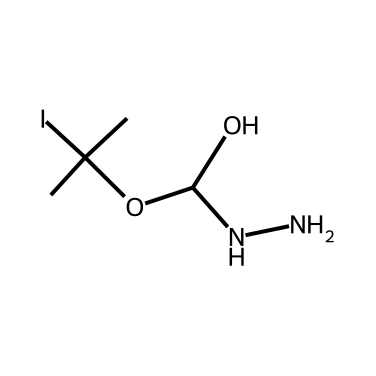 CC(C)(I)OC(O)NN